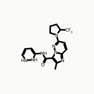 Cc1nc2ccc(N3CCCC3C(F)(F)F)nn2c1C(=O)NC1=CC=CNN1